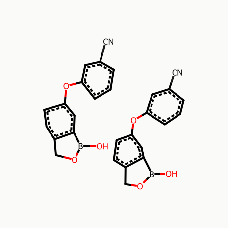 N#Cc1cccc(Oc2ccc3c(c2)B(O)OC3)c1.N#Cc1cccc(Oc2ccc3c(c2)B(O)OC3)c1